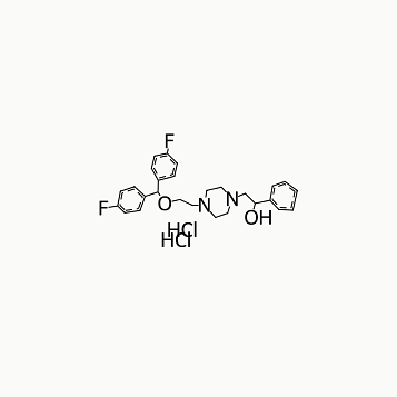 Cl.Cl.OC(CN1CCN(CCOC(c2ccc(F)cc2)c2ccc(F)cc2)CC1)c1ccccc1